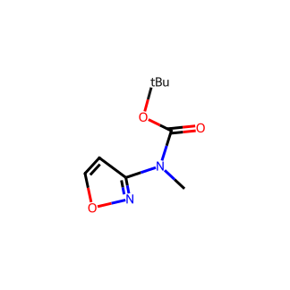 CN(C(=O)OC(C)(C)C)c1ccon1